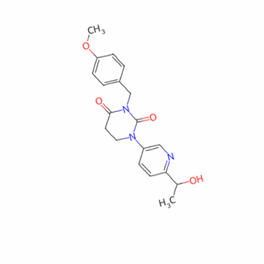 COc1ccc(CN2C(=O)CCN(c3ccc(C(C)O)nc3)C2=O)cc1